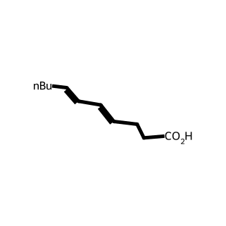 CCCCC=CC=CCCC(=O)O